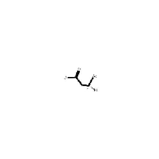 CC[C@H](CC(N)=O)C(C)=O